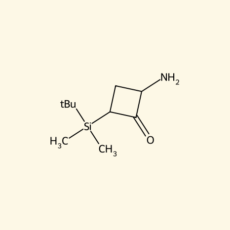 CC(C)(C)[Si](C)(C)C1CC(N)C1=O